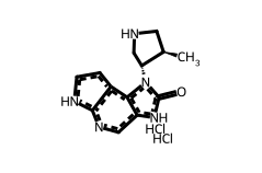 C[C@@H]1CNC[C@H]1n1c(=O)[nH]c2cnc3[nH]ccc3c21.Cl.Cl